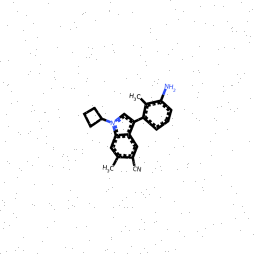 Cc1cc2c(cc1C#N)c(-c1cccc(N)c1C)cn2C1CCC1